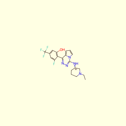 CCN1CCC[C@@H](Nc2nnc(-c3c(O)cc(C(F)(F)F)cc3F)c3cccn23)C1